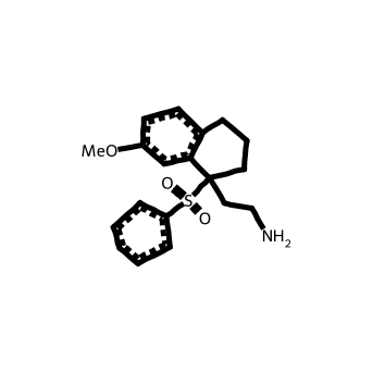 COc1ccc2c(c1)C(CCN)(S(=O)(=O)c1ccccc1)CCC2